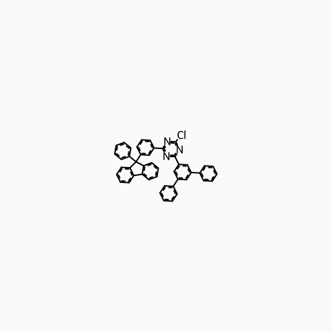 Clc1nc(-c2cc(-c3ccccc3)cc(-c3ccccc3)c2)nc(-c2cccc(C3(c4ccccc4)c4ccccc4-c4ccccc43)c2)n1